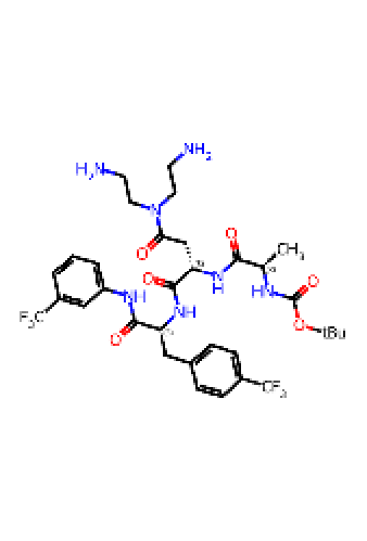 C[C@@H](NC(=O)OC(C)(C)C)C(=O)N[C@@H](CC(=O)N(CCN)CCN)C(=O)N[C@@H](Cc1ccc(C(F)(F)F)cc1)C(=O)Nc1cccc(C(F)(F)F)c1